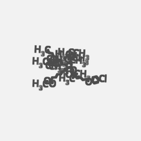 CCCCC[C@@H](/C=C/[C@@H]1C(SCCCCCC(=O)OC)=C(OC(=O)C(C)(C)CCCCOc2ccc(Cl)cc2)C[C@H]1O[Si](C)(C)C(C)(C)C)O[Si](C)(C)C(C)(C)C